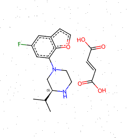 CC(C)[C@H]1CN(c2cc(F)cc3ccoc23)CCN1.O=C(O)C=CC(=O)O